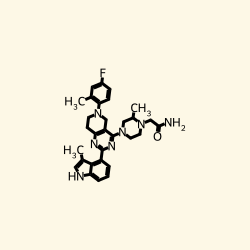 Cc1cc(F)ccc1N1CCc2nc(-c3cccc4[nH]cc(C)c34)nc(N3CCN(CC(N)=O)C(C)C3)c2C1